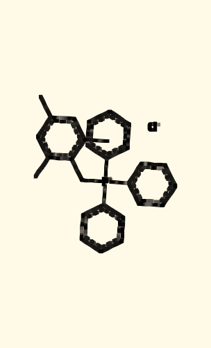 Cc1cc(C)c(C[P+](c2ccccc2)(c2ccccc2)c2ccccc2)c(C)c1.[Cl-]